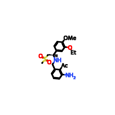 CCOc1cc([C@@H](CS(C)(=O)=O)NCc2cccc(N)c2C(C)=O)ccc1OC